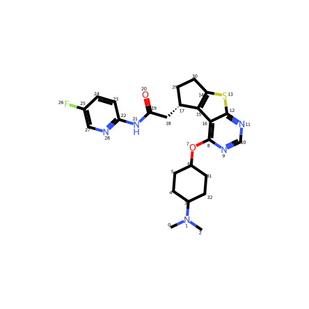 CN(C)C1CCC(Oc2ncnc3sc4c(c23)[C@H](CC(=O)Nc2ccc(F)cn2)CC4)CC1